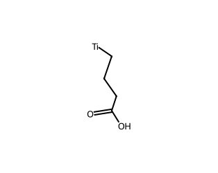 O=C(O)CC[CH2][Ti]